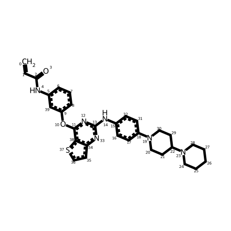 C=CC(=O)Nc1cccc(Oc2nc(Nc3ccc(N4CCC(N5CCCCC5)CC4)cc3)nc3ccsc23)c1